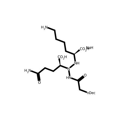 CCCCCCCCCCCC(=O)NN(N[C@@H](CCCCN)C(=O)O)[C@@H](CCC(N)=O)C(=O)O.[NaH]